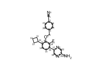 N#Cc1ccc(COc2c(C3CCC3)ccc(-c3cnc(N)cn3)c2F)cc1